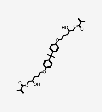 C=C(C)C(=O)OCC(O)CCCOc1ccc(C(C)(C)c2ccc(OCCCC(O)COC(=O)C(=C)C)cc2)cc1